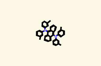 CC1=CC(N(c2cccc(C)c2)c2c3ccccc3c(N(c3cccc(C)c3)c3cccc(C)c3)c3ccccc23)=CCC1